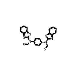 S=CN(c1ccc(N(C=S)c2nc3ccccc3s2)cc1)c1nc2ccccc2s1